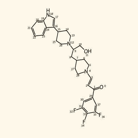 O=C(C=CN1CCC(CC(CO)N2CCC(c3c[nH]c4ccccc34)CC2)CC1)c1cc(F)c(F)c(F)c1